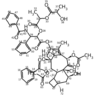 CC(=O)O[C@H]1C(=O)[C@@]2(C)C([C@H](OC(=O)c3ccccc3)[C@]3(O)CC(OC(=O)[C@H](OC(=O)C(C)OC(=O)C(C)O)C(NC(=O)c4ccccc4)c4ccccc4)C(C)=C1C3(C)C)[C@]1(OC(C)=O)CC[C@@H]1C[C@@H]2O